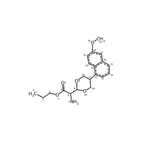 CCCOC(=O)C(N)C1OCC(c2cccc3cc(OC)ccc23)CO1